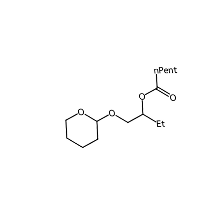 CCCCCC(=O)OC(CC)COC1CCCCO1